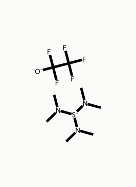 CN(C)[S+](N(C)C)N(C)C.[O-]C(F)(F)C(F)(F)F